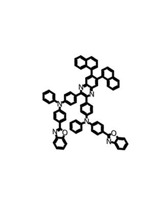 c1ccc(N(c2ccc(-c3nc4ccccc4o3)cc2)c2ccc(-c3nc4cc(-c5cccc6ccccc56)c(-c5cccc6ccccc56)cc4nc3-c3ccc(N(c4ccccc4)c4ccc(-c5nc6ccccc6o5)cc4)cc3)cc2)cc1